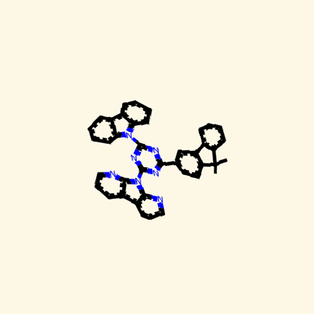 CC1(C)c2ccccc2-c2cc(-c3nc(-n4c5ccccc5c5ccccc54)nc(-n4c5ncccc5c5cccnc54)n3)ccc21